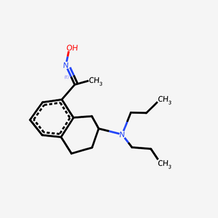 CCCN(CCC)C1CCc2cccc(/C(C)=N/O)c2C1